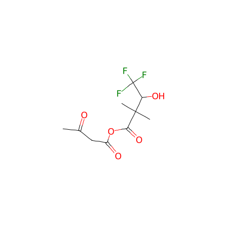 CC(=O)CC(=O)OC(=O)C(C)(C)C(O)C(F)(F)F